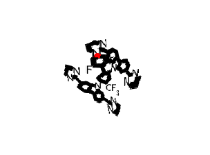 Fc1cccc(F)c1-c1cc(-n2c3cc(-c4ncccn4)ccc3c3ccc(-c4ncccn4)cc32)c(C(F)(F)F)cc1-n1c2cc(-c3ncccn3)ccc2c2ccc(-c3ncccn3)cc21